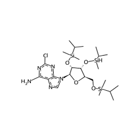 CC(C)[SiH](C)O[C@H]1[C@@H](O[Si](C)(C)C(C)C)[C@H](n2cnc3c(N)nc(Cl)nc32)O[C@@H]1CO[Si](C)(C)C(C)C